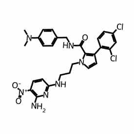 CN(C)c1ccc(CNC(=O)c2c(-c3ccc(Cl)cc3Cl)ccn2CCCNc2ccc([N+](=O)[O-])c(N)n2)cc1